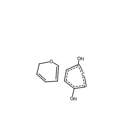 C1=CCOC=C1.Oc1ccc(O)cc1